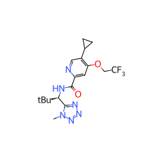 Cn1nnnc1[C@H](NC(=O)c1cc(OCC(F)(F)F)c(C2CC2)cn1)C(C)(C)C